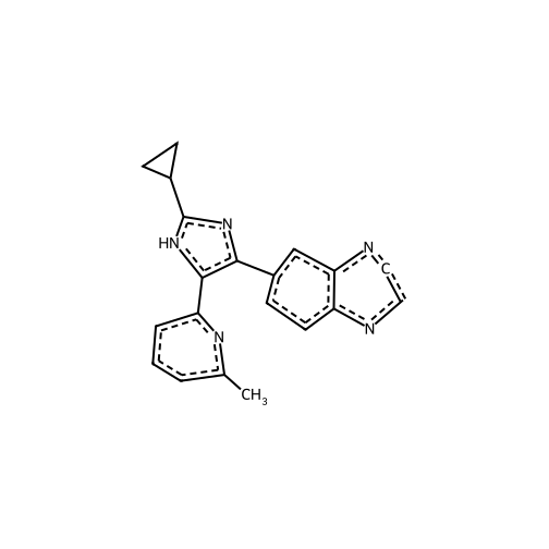 Cc1cccc(-c2[nH]c(C3CC3)nc2-c2ccc3nccnc3c2)n1